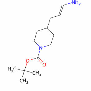 CC(C)(C)OC(=O)N1CCC(CC=CN)CC1